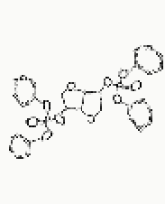 O=P(Oc1ccccc1)(Oc1ccccc1)OC1COC2C(OP(=O)(Oc3ccccc3)Oc3ccccc3)COC12